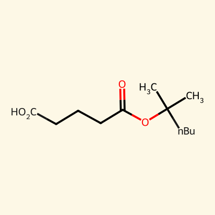 CCCCC(C)(C)OC(=O)CCCC(=O)O